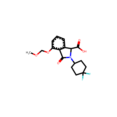 COCOc1cccc2c1C(=O)N(C1CCC(F)(F)CC1)C2C(=O)O